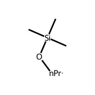 CC[CH]O[Si](C)(C)C